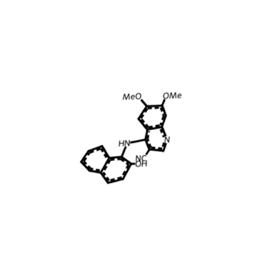 COc1cc2ncc(C#N)c(Nc3c(O)ccc4ccccc34)c2cc1OC